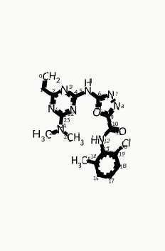 C=Cc1nc(Nc2nnc(C(=O)Nc3c(C)cccc3Cl)o2)nc(N(C)C)n1